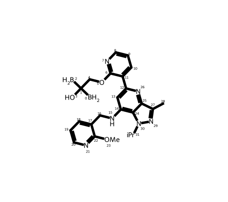 BC(B)(O)COc1ncccc1-c1cc(NCc2cccnc2OC)c2c(n1)c(C)nn2C(C)C